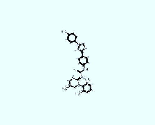 Cc1ccc(-n2cnc(-c3ccc(NC(=O)/N=C4\SCC(C)CN4c4c(C)cccc4C)cc3)n2)cc1